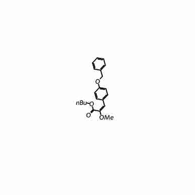 CCCCOC(=O)C(=Cc1ccc(OCc2ccccc2)cc1)OC